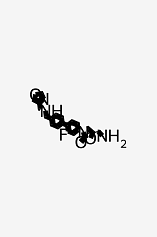 NC[C@H]1CN(c2ccc(-c3ccc(CNCc4cocn4)cc3)c(F)c2)C(=O)O1